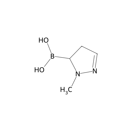 CN1N=CCC1B(O)O